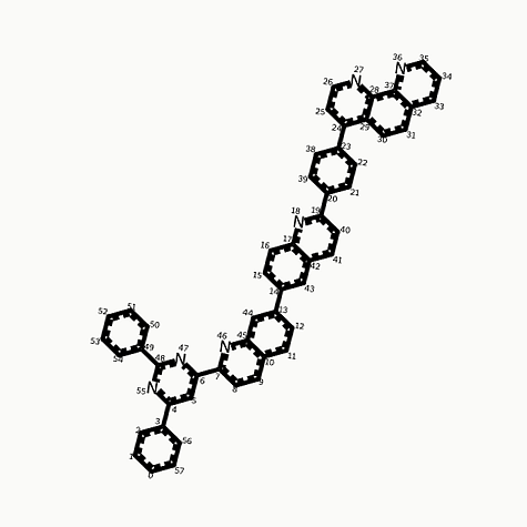 c1ccc(-c2cc(-c3ccc4ccc(-c5ccc6nc(-c7ccc(-c8ccnc9c8ccc8cccnc89)cc7)ccc6c5)cc4n3)nc(-c3ccccc3)n2)cc1